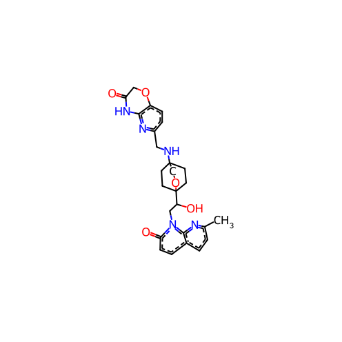 Cc1ccc2ccc(=O)n(CC(O)C34CCC(NCc5ccc6c(n5)NC(=O)CO6)(CC3)CO4)c2n1